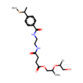 CCC(CO)OC(COC(=O)CCC(=O)NCCNC(=O)c1ccc(C(C)SSC)cc1)OC